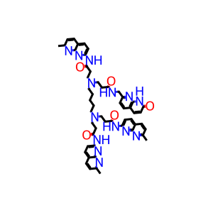 Cc1ccc2ccc(NC(=O)CCN(CCCCCN(CCC(=O)Nc3ccc4ccc(C)nc4n3)CCC(=O)Nc3ccc4ccc(C)nc4n3)CCC(=O)NCc3ccc4ccc(=O)[nH]c4n3)nc2n1